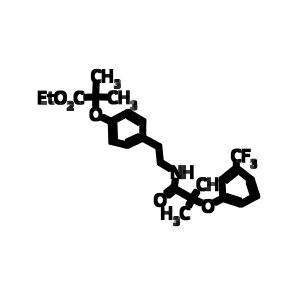 CCOC(=O)C(C)(C)Oc1ccc(CCNC(=O)C(C)(C)Oc2cccc(C(F)(F)F)c2)cc1